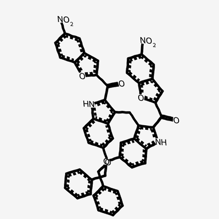 O=C(c1cc2cc([N+](=O)[O-])ccc2o1)c1[nH]c2ccc(OCc3ccccc3)cc2c1Cc1c(C(=O)c2cc3cc([N+](=O)[O-])ccc3o2)[nH]c2ccc(OCc3ccccc3)cc12